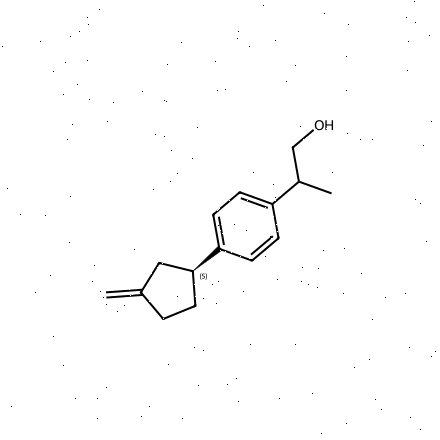 C=C1CC[C@H](c2ccc(C(C)CO)cc2)C1